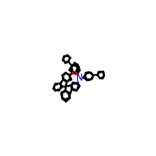 c1ccc(-c2ccc(N(c3ccc(-c4ccccc4)cc3)c3ccc4c(c3)C3(c5ccccc5-c5ccc(-c6ccccc6)cc53)c3ccccc3-4)cc2)cc1